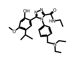 CCNC(=O)c1nnc(-c2cc(C(C)C)c(OC)cc2O)n1-c1ccc(CN(CC)CC)cc1